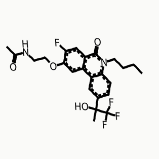 CCCCn1c(=O)c2cc(F)c(OCCNC(C)=O)cc2c2cc(C(C)(O)C(F)(F)F)ccc21